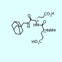 CN[C@@H](CCC(=O)O)C(=O)N[C@@H](CCC(=O)O)C(=O)NCC12CC3CC(CC(C3)C1)C2